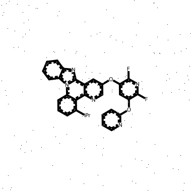 CC(C)c1cccc2c1c1ncc(Oc3cc(Oc4ccccn4)c(F)nc3F)cc1c1nc3ccccc3n21